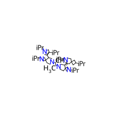 CC(C)C1=C(C2CN(C(C)C(C)N3CCC4(CN(C(C)C)C4)C(C4CC5(CCN4C(C)C)CC(C(C)C)C5)C3)CCC23CN(C(C)C)C3)CN(C(C)C)C1